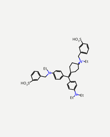 CCN(CC)c1ccc(C(=C2CCC(=[N+](CC)Cc3cccc(S(=O)(=O)O)c3)CC2)c2ccc(N(CC)Cc3cccc(S(=O)(=O)O)c3)cc2)cc1